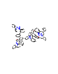 c1ccc(-c2ccc3c(-c4cccc(-c5cc(-c6ccc7c(c6)c6cccc8c6n7-c6ccccc6C86c7ccccc7-c7cc(-c8ccccc8-c8cc(-c9ccccc9)c9ccccc9n8)ccc76)c6c(c5)C5(c7ccccc7-6)c6ccccc6-n6c7ccccc7c7cccc5c76)c4)cccc3n2)cc1